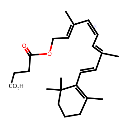 CC(C=CC1=C(C)CCCC1(C)C)=C/C=C\C(C)=CCOC(=O)CCC(=O)O